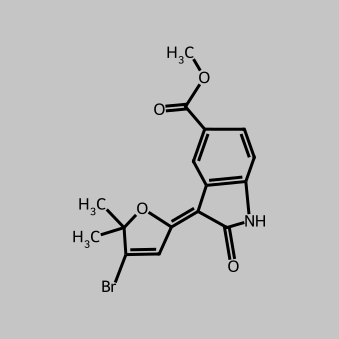 COC(=O)c1ccc2c(c1)/C(=C1/C=C(Br)C(C)(C)O1)C(=O)N2